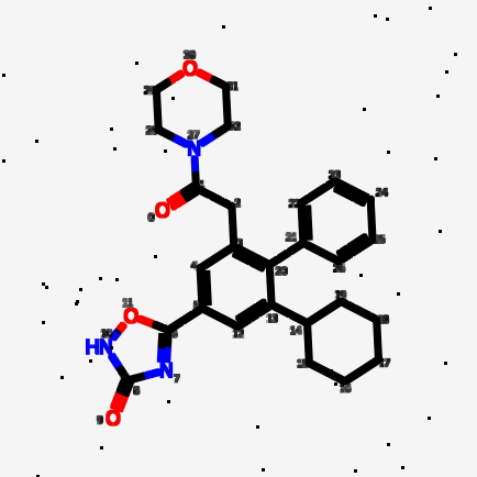 O=C(Cc1cc(-c2nc(=O)[nH]o2)cc(C2CCCCC2)c1-c1ccccc1)N1CCOCC1